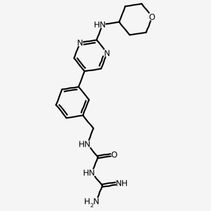 N=C(N)NC(=O)NCc1cccc(-c2cnc(NC3CCOCC3)nc2)c1